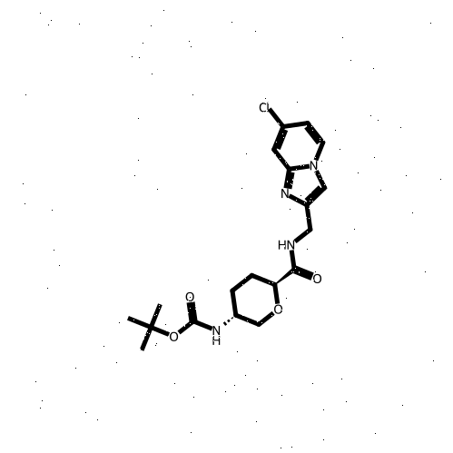 CC(C)(C)OC(=O)N[C@@H]1CC[C@@H](C(=O)NCc2cn3ccc(Cl)cc3n2)OC1